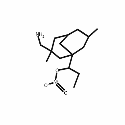 CCC(O[N+](=O)[O-])C12CC(C)CC(CC(C)(CN)C1)C2